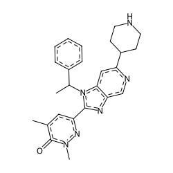 Cc1cc(-c2nc3cnc(C4CCNCC4)cc3n2C(C)c2ccccc2)nn(C)c1=O